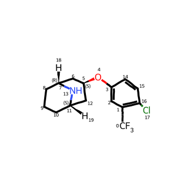 FC(F)(F)c1cc(O[C@@H]2C[C@H]3CCC[C@@H](C2)N3)ccc1Cl